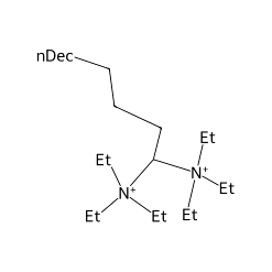 CCCCCCCCCCCCCC([N+](CC)(CC)CC)[N+](CC)(CC)CC